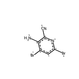 N#Cc1nc(Br)cc(Br)c1N